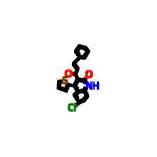 O=C(/C=C/c1ccccc1)c1c(-c2cccs2)c2cc(Cl)ccc2[nH]c1=O